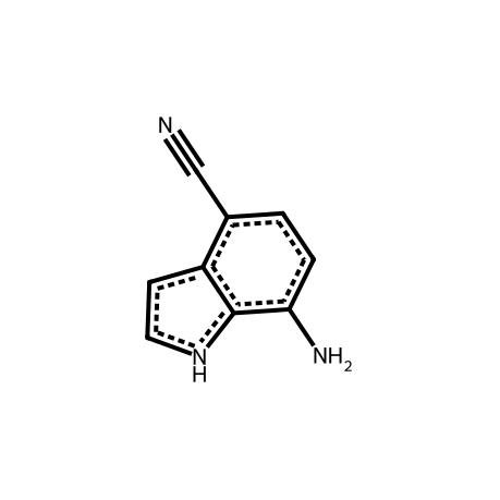 N#Cc1ccc(N)c2[nH]ccc12